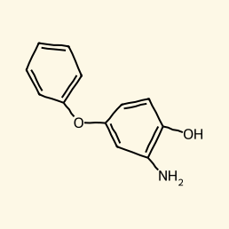 Nc1cc(Oc2ccccc2)ccc1O